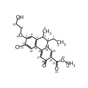 CCC1C(C)c2cc(OCCO)c(Cl)cc2-c2cc(=O)c(C(=O)ON)cn21